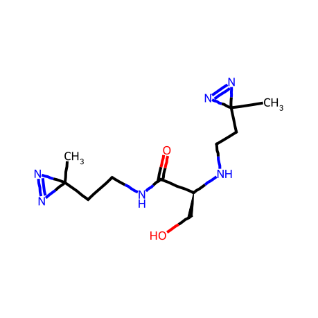 CC1(CCNC(=O)[C@H](CO)NCCC2(C)N=N2)N=N1